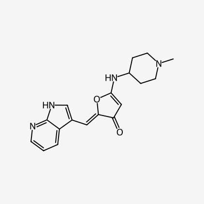 CN1CCC(NC2=CC(=O)C(=Cc3c[nH]c4ncccc34)O2)CC1